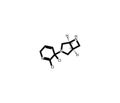 ClC1=NCC=CC1(Cl)N1C[C@@H]2CN[C@@H]2C1